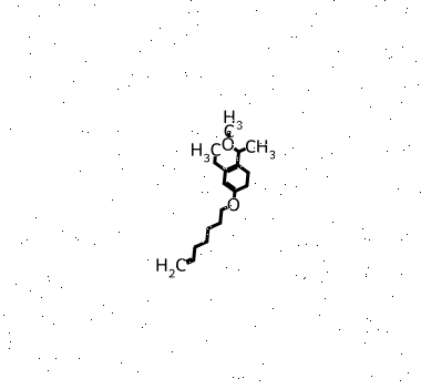 C=CCCCCCOC1=CC(CC)=C(C(C)OC)CC1